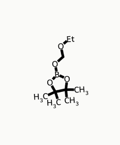 CCOCOB1OC(C)(C)C(C)(C)O1